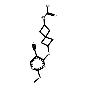 CSc1ncc(C#N)c(OC2CC3(CC(NC(=O)O)C3)C2)n1